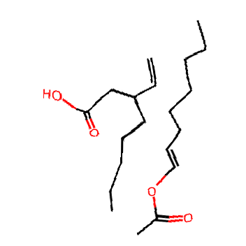 C=CC(CCCCC)CC(=O)O.CCCCCCC=COC(C)=O